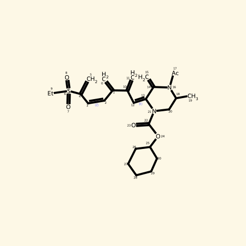 C=C(/C=C\C(=C)S(=O)(=O)CC)C(=C)/C=C1\C(=C)N(C(C)=O)C(C)CN1C(=O)OC1CCCCC1